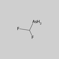 FC(F)[AsH2]